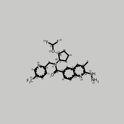 Cc1cc2cc(C(=O)N(Cc3ccc(C(F)(F)F)cn3)[C@@H]3CCC[C@H]3OC(F)F)ccc2nc1NN